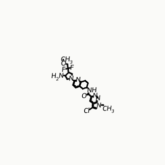 CCn1cc(Cl)c2cc(C(=O)NC3CCc4nc(N5CC(N)C(C(F)(F)COC)C5)ccc4C3)nnc21